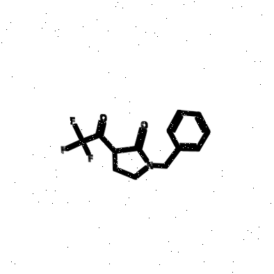 O=C1C(C(=O)C(F)(F)F)CCN1Cc1ccccc1